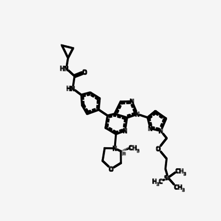 C[C@@H]1COCCN1c1cc(-c2ccc(NC(=O)NC3CC3)cc2)c2cnn(-c3ccn(COCC[Si](C)(C)C)n3)c2n1